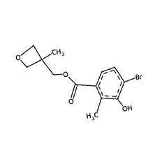 Cc1c(C(=O)OCC2(C)COC2)ccc(Br)c1O